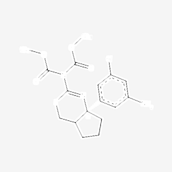 CC(C)(C)OC(=O)N(C(=O)OC(C)(C)C)C1=N[C@@]2(c3cc(N)cc(Cl)c3)CCCC2CS1